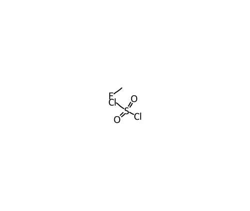 CF.O=S(=O)(Cl)Cl